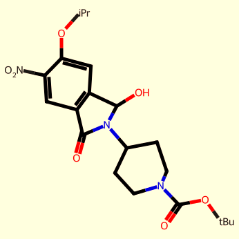 CC(C)Oc1cc2c(cc1[N+](=O)[O-])C(=O)N(C1CCN(C(=O)OC(C)(C)C)CC1)C2O